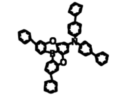 c1ccc(-c2ccc(N(c3ccc(-c4ccccc4)cc3)c3cc4c5c(c3)Oc3cc(-c6ccccc6)ccc3B5c3ccc(-c5ccccc5)cc3O4)cc2)cc1